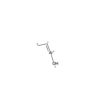 C[CH]=[Al][OH]